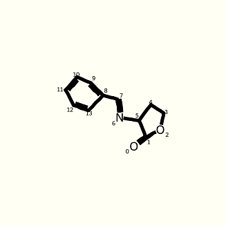 O=C1OCCC1N=Cc1ccccc1